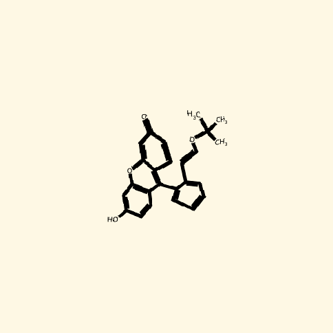 CC(C)(C)OC=Cc1ccccc1-c1c2ccc(=O)cc-2oc2cc(O)ccc12